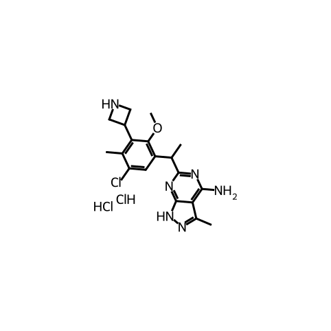 COc1c(C(C)c2nc(N)c3c(C)n[nH]c3n2)cc(Cl)c(C)c1C1CNC1.Cl.Cl